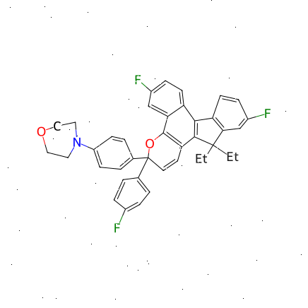 CCC1(CC)c2cc(F)ccc2-c2c1c1c(c3cc(F)ccc23)OC(c2ccc(F)cc2)(c2ccc(N3CCOCC3)cc2)C=C1